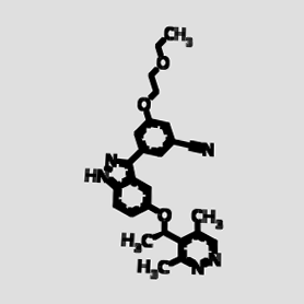 CCOCCOc1cc(C#N)cc(-c2n[nH]c3ccc(O[C@H](C)c4c(C)cnnc4C)cc23)c1